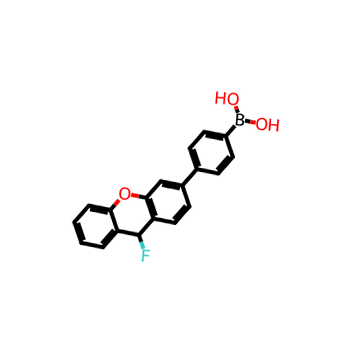 OB(O)c1ccc(-c2ccc3c(c2)Oc2ccccc2C3F)cc1